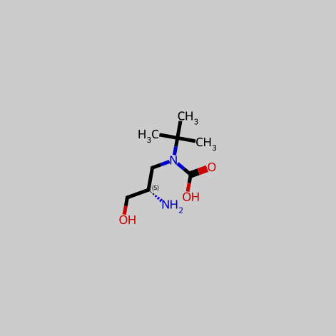 CC(C)(C)N(C[C@H](N)CO)C(=O)O